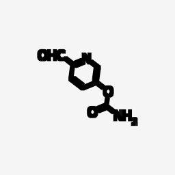 NC(=O)Oc1ccc(C=O)nc1